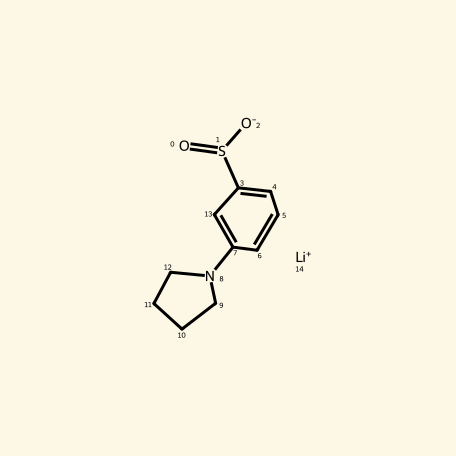 O=S([O-])c1cccc(N2CCCC2)c1.[Li+]